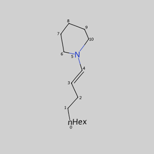 CCCCCCCC/C=C/N1CCCCC1